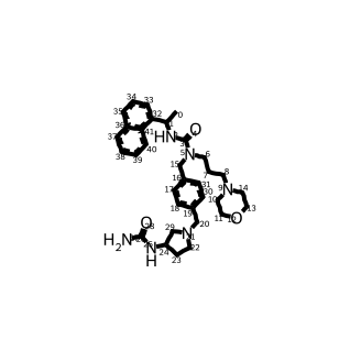 CC(NC(=O)N(CCCN1CCOCC1)Cc1ccc(CN2CCC(NC(N)=O)C2)cc1)c1cccc2ccccc12